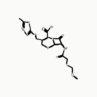 COCSCC(=O)NC1C(=O)N2C(C(=O)O)=C(CSc3nnc(C)s3)CSC12